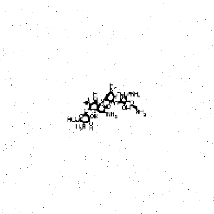 CN[C@@H]1[C@@H](O[C@H]2O[C@H](CO)[C@@H](N)[C@H](O)[C@H]2O)OC2C[C@@H](N)[C@@H](O[C@H]3[C@H](OC4O[C@H](CN)[C@@H](OCCN)[C@H]4O)[C@@H](O)[C@H](N)C[C@@H]3N)OC2[C@@H]1O